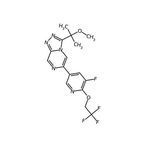 COC(C)(C)c1nnc2cnc(-c3cnc(OCC(F)(F)F)c(F)c3)cn12